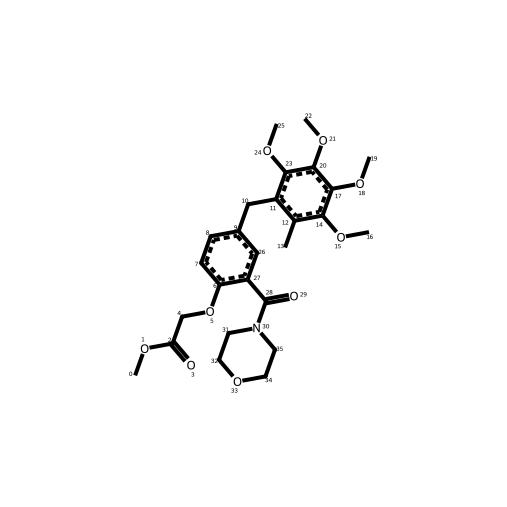 COC(=O)COc1ccc(Cc2c(C)c(OC)c(OC)c(OC)c2OC)cc1C(=O)N1CCOCC1